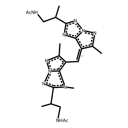 CC(=O)NCC(C)c1nc2/c(=C\c3c(C)nn4nc(C(C)CNC(C)=O)n(C)c34)c(C)nn2n1